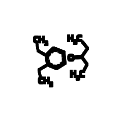 CCC(=O)CC.CCc1ccccc1CC